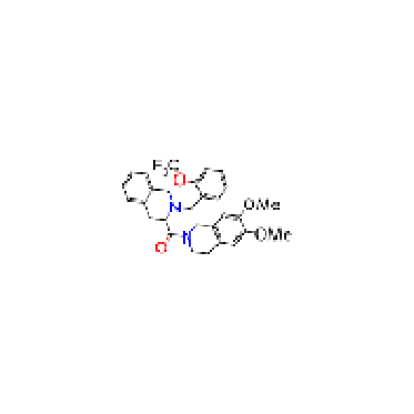 COc1cc2c(cc1OC)CN(C(=O)C1Cc3ccccc3CN1Cc1ccccc1OC(F)(F)F)CC2